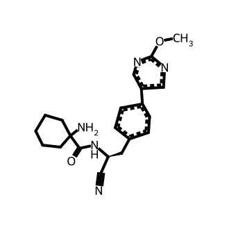 COc1ncc(-c2ccc(C[C@@H](C#N)NC(=O)C3(N)CCCCC3)cc2)cn1